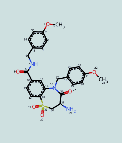 COc1ccc(CNC(=O)c2ccc3c(c2)N(Cc2ccc(OC)cc2)C(=O)[C@@H](N)CS3(=O)=O)cc1